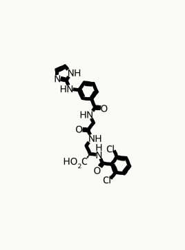 O=C(CNC(=O)c1cccc(Nc2ncc[nH]2)c1)NC[C@H](NC(=O)c1c(Cl)cccc1Cl)C(=O)O